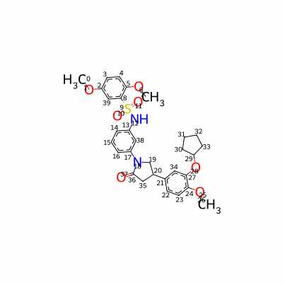 COc1ccc(OC)c(S(=O)(=O)Nc2cccc(N3CC(c4ccc(OC)c(OC5CCCC5)c4)CC3=O)c2)c1